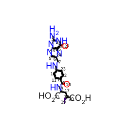 Nc1nc2ncc(CNc3ccc(C(=O)NC(CC(I)C(=O)O)C(=O)O)cc3)nc2c(=O)[nH]1